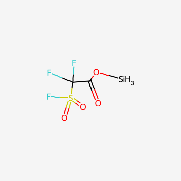 O=C(O[SiH3])C(F)(F)S(=O)(=O)F